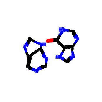 O=c1[nH]cnc2nc[nH]c12.c1ncc2nc[nH]c2n1